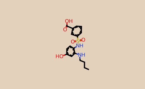 CCCCNc1cc(O)ccc1NS(=O)(=O)c1cccc(C(=O)O)c1